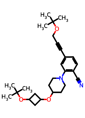 CC(C)(C)OCC#Cc1ccc(C#N)c(N2CCC(OC3CC(OC(C)(C)C)C3)CC2)c1